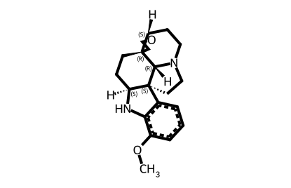 COc1cccc2c1N[C@H]1CC[C@]34CCO[C@H]3CCN3CC[C@]21[C@@H]34